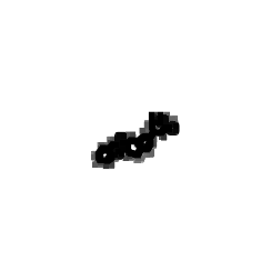 COC(=O)CC(CN)c1ccc2c(c1)CN(S(=O)(=O)Cc1ccccc1)CC2